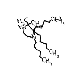 CCCCCN1CCNC(C)(C)C1(CCCCC)CCCCC